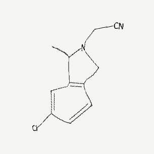 CC1c2cc(Cl)ccc2CN1CC#N